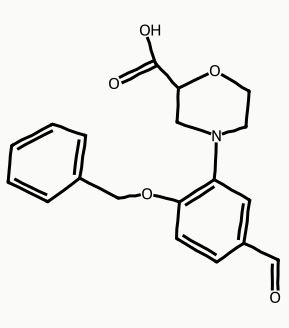 O=Cc1ccc(OCc2ccccc2)c(N2CCOC(C(=O)O)C2)c1